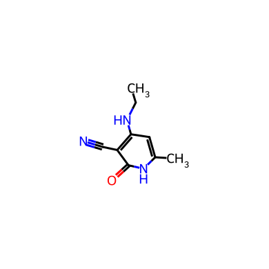 CCNc1cc(C)[nH]c(=O)c1C#N